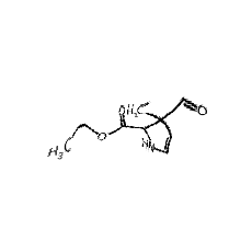 CCOC(=O)C1NC=CC1(C)C=O